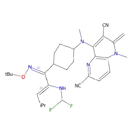 C=C1C(C#N)=C(N(C)C2CCC(C(=N/OC(C)(C)C)/C(=C/C(C)C)NC(F)F)CC2)c2nc(C#N)ccc2N1C